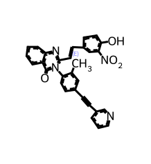 Cc1cc(C#Cc2cccnc2)ccc1-n1c(/C=C/c2ccc(O)c([N+](=O)[O-])c2)nc2ccccc2c1=O